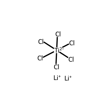 [Cl][Ti-2]([Cl])([Cl])([Cl])([Cl])[Cl].[Li+].[Li+]